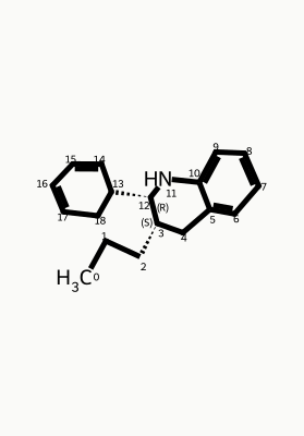 CCC[C@H]1Cc2ccccc2N[C@H]1C1C=CC=CC1